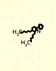 CCCCCCC1CCC2=C([N]c3ccccc32)C1CCCCCC